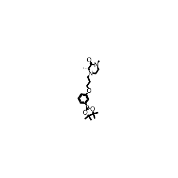 C[C@@H]1C(=O)N(C)CCN1CCCOc1cccc(B2OC(C)(C)C(C)(C)O2)c1